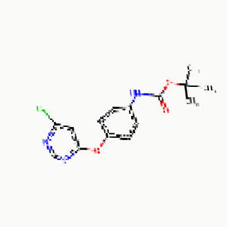 CC(C)(C)OC(=O)Nc1ccc(Oc2cc(Cl)ncn2)cc1